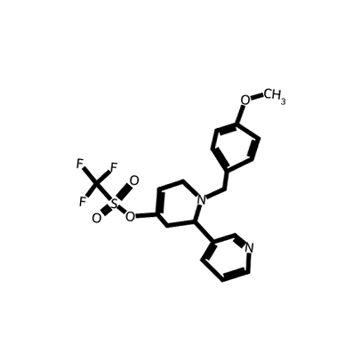 COc1ccc(CN2CC=C(OS(=O)(=O)C(F)(F)F)CC2c2cccnc2)cc1